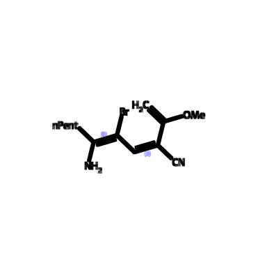 C=C(OC)/C(C#N)=C\C(Br)=C(/N)CCCCC